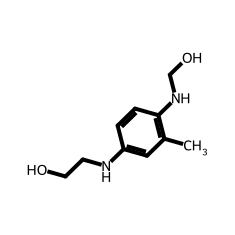 Cc1cc(NCCO)ccc1NCO